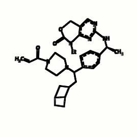 C=CC(=O)N1CCN(C(CC2CC3CCC32)c2ccc([C@H](C)Nc3ncc4c(n3)N(CC)C(=O)OC4)cc2)CC1